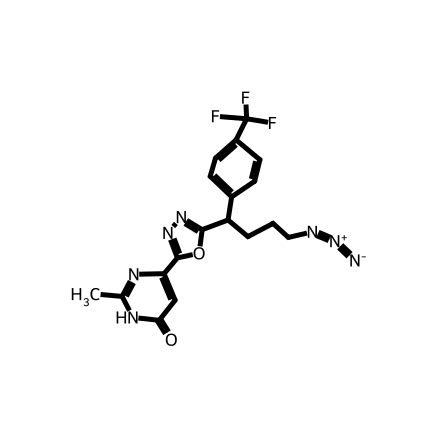 Cc1nc(-c2nnc(C(CCCN=[N+]=[N-])c3ccc(C(F)(F)F)cc3)o2)cc(=O)[nH]1